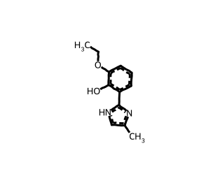 CCOc1cccc(-c2nc(C)c[nH]2)c1O